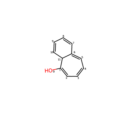 OC1=CC=CC=C2C=CC=CC12